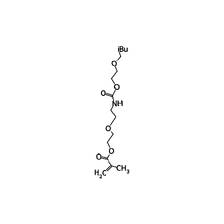 C=C(C)C(=O)OCCOCCNC(=O)OCCOCC(C)CC